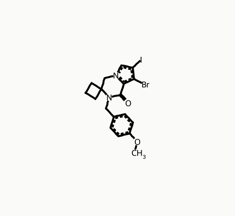 COc1ccc(CN2C(=O)c3c(Br)c(I)cn3CC23CCC3)cc1